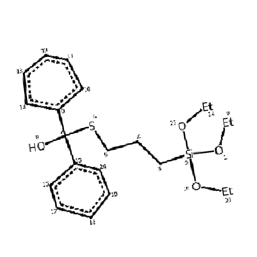 CCO[Si](CCCSC(O)(c1ccccc1)c1ccccc1)(OCC)OCC